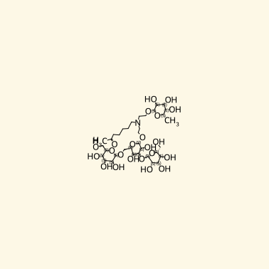 CC(=O)CCCCCN(CCO[C@H]1O[C@@H](C)[C@@H](O)[C@@H](O)[C@@H]1O)CCO[C@H]1O[C@H](CO[C@H]2O[C@H](CO)[C@@H](O)[C@H](O)[C@@H]2O)[C@@H](O)[C@H](O[C@H]2O[C@H](CO)[C@@H](O)[C@H](O)[C@@H]2O)[C@@H]1O